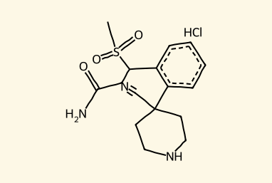 CS(=O)(=O)C(CC(N)=O)c1ccccc1C1(C#N)CCNCC1.Cl